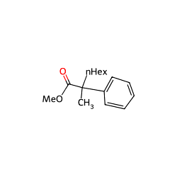 CCCCCCC(C)(C(=O)OC)c1ccccc1